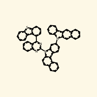 c1ccc2cc3c(cc2c1)c1ccccc1n3-c1ccc2c3c4ccccc4ccc3n(-c3nc(-c4cccc5sc6ccccc6c45)c4ccccc4n3)c2c1